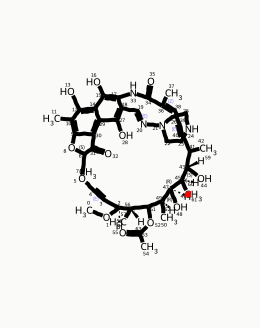 CO[C@H]1/C=C/O[C@@]2(C)Oc3c(C)c(O)c4c(O)c(c(/C=N/N5CCNCC5)c(O)c4c3C2=O)NC(=O)/C(C)=C\C=C\C(C)[C@H](O)[C@@H](C)[C@@H](O)[C@@H](C)C(OC(C)=O)[C@@H]1C